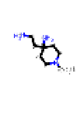 NCCC1(N)CCN(C(=O)O)CC1